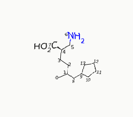 CC(CC[C@H](CN)C(=O)O)CC1CCCC1